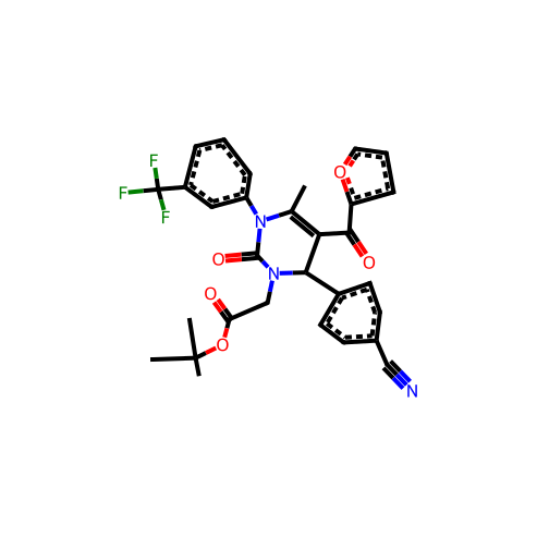 CC1=C(C(=O)c2ccco2)C(c2ccc(C#N)cc2)N(CC(=O)OC(C)(C)C)C(=O)N1c1cccc(C(F)(F)F)c1